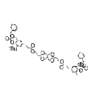 Cc1cc(CCC(=O)OCCC2OCC3(CO2)COC(CCOC(=O)CCc2cc(C)c(OC(=O)OCc4ccccc4)c(C(C)(C)C)c2)OC3)cc(C(C)(C)C)c1OC(=O)OCc1ccccc1